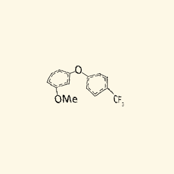 COc1cccc(Oc2ccc(C(F)(F)F)cc2)c1